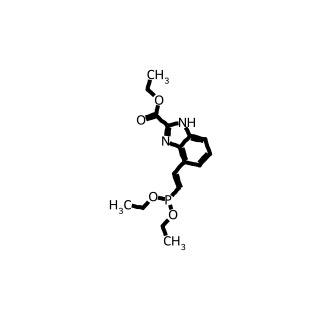 CCOC(=O)c1nc2c(C=CP(OCC)OCC)cccc2[nH]1